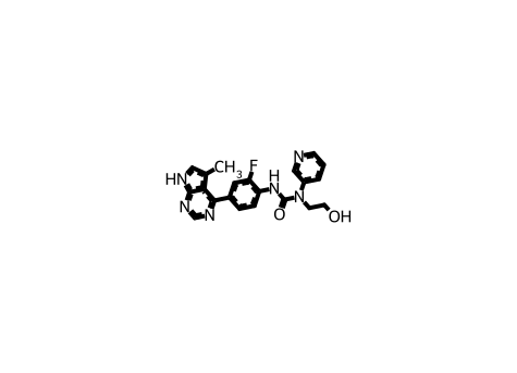 Cc1c[nH]c2ncnc(-c3ccc(NC(=O)N(CCO)c4cccnc4)c(F)c3)c12